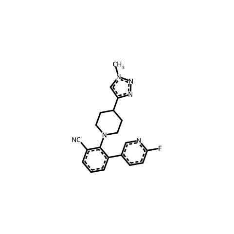 Cn1cc(C2CCN(c3c(C#N)cccc3-c3ccc(F)nc3)CC2)nn1